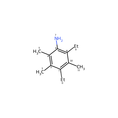 CCc1c(C)c(C)c(N)c(CC)c1C